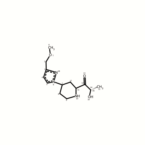 COCc1[c]cn(C2CCNC(C(=O)[C@H](C)O)C2)n1